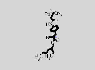 C=C(C)CC(=O)Nc1ccc(/C=C(\C#N)C(=O)OCC(CC)CCCC)cc1